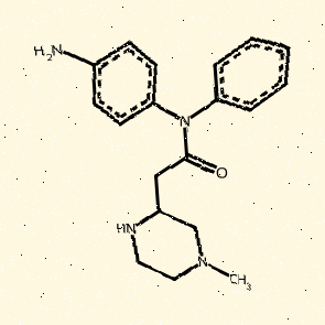 CN1CCNC(CC(=O)N(c2ccccc2)c2ccc(N)cc2)C1